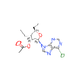 CC[C@H]1[C@@H](OC(C)=O)[C@H](n2cnc3c(Cl)ncnc32)O[C@@H]1CC